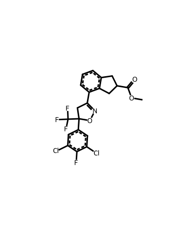 COC(=O)C1Cc2cccc(C3=NOC(c4cc(Cl)c(F)c(Cl)c4)(C(F)(F)F)C3)c2C1